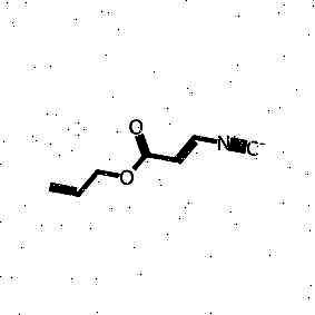 [C-]#[N+]C=CC(=O)OCC=C